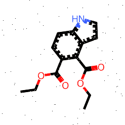 CCOC(=O)c1ccc2[nH]ccc2c1C(=O)OCC